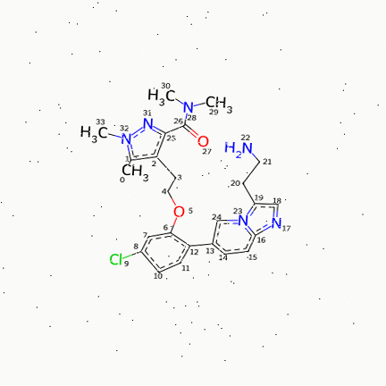 Cc1c(CCOc2cc(Cl)ccc2-c2ccc3ncc(CCN)n3c2)c(C(=O)N(C)C)nn1C